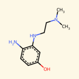 CN(C)CCNc1cc(O)ccc1N